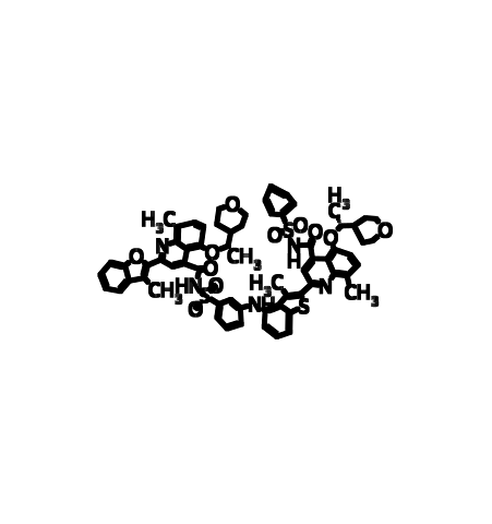 Cc1c(-c2cc(C(=O)NS(=O)(=O)c3cccc(Nc4cccc5sc(-c6cc(C(=O)NS(=O)(=O)c7ccccc7)c7c(O[C@H](C)C8CCOCC8)ccc(C)c7n6)c(C)c45)c3)c3c(O[C@H](C)C4CCOCC4)ccc(C)c3n2)oc2ccccc12